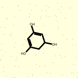 OC1=CC(O)=CC(O)[CH]1